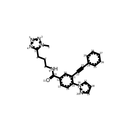 Cn1nnnc1CCCNC(=O)c1ccc(-n2cccn2)c(C#Cc2ccccc2)c1